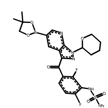 CCCS(=O)(=O)Nc1c(F)ccc(C(=O)c2nn(C3CCCCO3)c3ncc(B4OCC(C)(C)O4)cc23)c1F